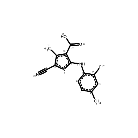 Cc1ccc(Nc2sc(C#N)c(C)c2C(=O)O)c(F)c1